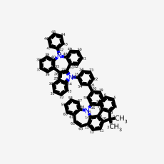 CC1(C)c2ccccc2-c2c1ccc1c2N(c2cccc(-c3cccc(-n4c5c(c6ccccc64)-c4ccccc4N(c4ccccc4)c4ccccc4-5)c3)c2)c2ccccc2C=C1